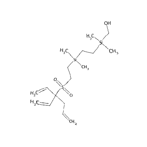 C=CCC(C=C)(C=C)S(=O)(=O)CC[Si](C)(C)CC[Si](C)(C)CO